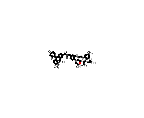 Cc1ccc(N(CC(=O)O)CC(=O)O)c(OCCOc2cc(CNC(=O)c3ccc(-c4c5cc(F)c(=O)cc-5oc5cc(C)c(F)cc45)c(C(=O)O)c3)ccc2N(CC(=O)O)CC(=O)O)c1